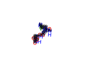 CNC(=O)N1CCc2c(c(N3CCCc4cc(-c5cnn(C)c5)c(C(F)F)cc43)nn2C2CCN(C(=O)CCOCCNc3cccc4c3C(=O)N(C3CCC(=O)NC3=O)C4=O)CC2)C1